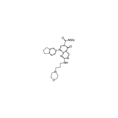 CNC(=O)c1cn(-c2ccc3c(c2)CCC3)c2nc(NCCCN3CCOCC3)ncc2c1=O